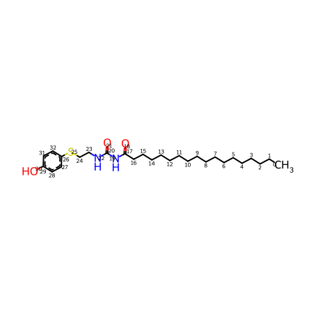 CCCCCCCCCCCCCCCCCC(=O)NC(=O)NCCSc1ccc(O)cc1